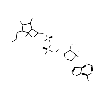 CN[C@@H]1[C@@H](COP(=O)(S)OP(=O)(O)OC2OC3(OC(C)=O)C2C(OC(C)=O)C(O)C3[C@H](COC(C)=O)OC(C)=O)O[C@@H](c2coc3c(N)ncnc23)[C@]1(C)F